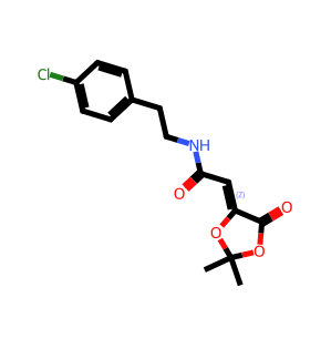 CC1(C)OC(=O)/C(=C/C(=O)NCCc2ccc(Cl)cc2)O1